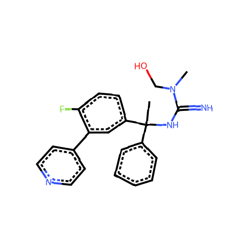 CN(CO)C(=N)NC(C)(c1ccccc1)c1ccc(F)c(-c2ccncc2)c1